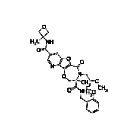 COCCN1C(=O)c2oc3cc(C(=O)NC4(C)COC4)cnc3c2OCC1(C)C(=O)NCc1ccccc1OC